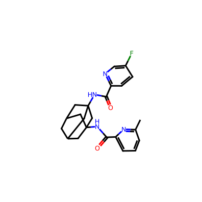 Cc1cccc(C(=O)NC23CC4CC(CC(NC(=O)c5ccc(F)cn5)(C4)C2)C3)n1